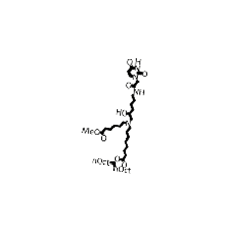 CCCCCCCCC(CCCCCCCC)OC(=O)CCCCCCCN(CCCCCC(=O)OC)CC(O)CCCCNC(=O)Cn1ccc(=O)[nH]c1=O